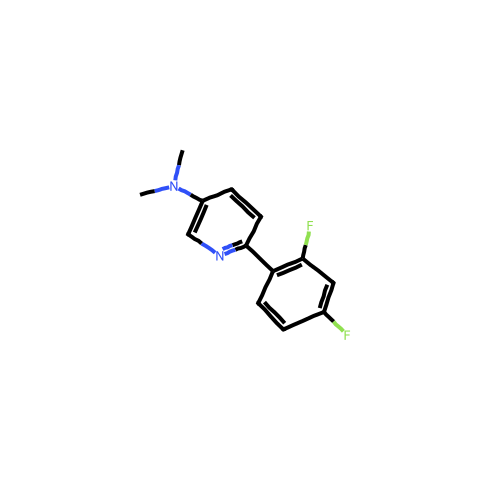 CN(C)c1ccc(-c2ccc(F)cc2F)nc1